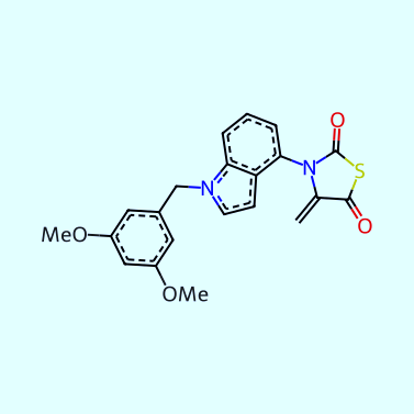 C=C1C(=O)SC(=O)N1c1cccc2c1ccn2Cc1cc(OC)cc(OC)c1